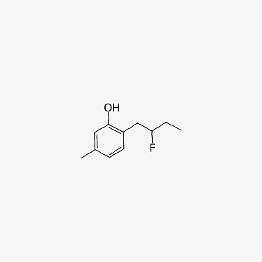 CCC(F)Cc1ccc(C)cc1O